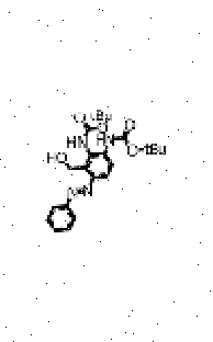 CC(C)(C)OC(=O)Nc1ccc(N=Nc2ccccc2)c(CO)c1NC(=O)OC(C)(C)C